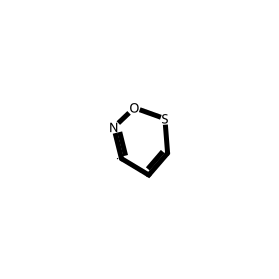 [C]1=NOSC=C1